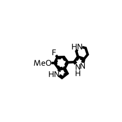 COc1c(F)cc(-c2[nH]nc3c2CNCC3)c2cc[nH]c12